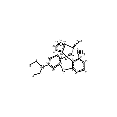 CCN(CC)c1ccc2c(c1)Oc1cccc(N)c1C21OC(=O)c2ccccc21